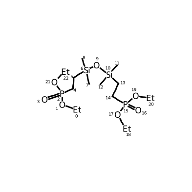 CCOP(=O)(CC[Si](C)(C)O[Si](C)(C)CCP(=O)(OCC)OCC)OCC